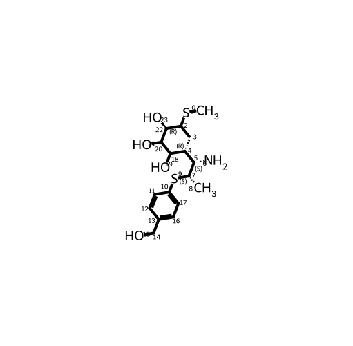 CSC1C[C@H]([C@H](N)[C@H](C)Sc2ccc(CO)cc2)C(O)C(O)[C@H]1O